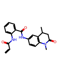 C=CC(=O)Nc1ccccc1C(=O)Nc1ccc2c(c1)C(C)CC(=O)N2C